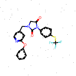 O=C1CN(Cc2ccnc(Oc3ccccc3)c2)C(=O)N1c1ccc(SC(F)(F)F)cc1